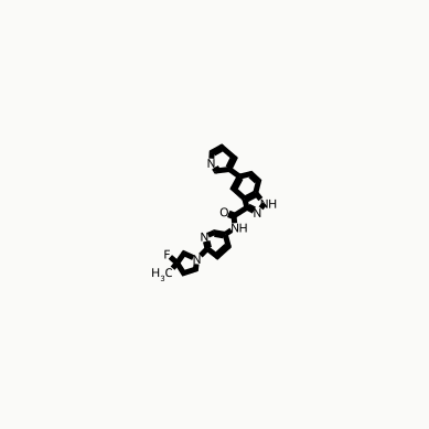 CC1(F)CCN(c2ccc(NC(=O)c3n[nH]c4ccc(-c5cccnc5)cc34)cn2)C1